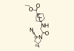 CCOC(=O)C12CCC(NCC(=O)N3C[C@@H](C)C[C@H]3C#N)(CC1)CC2